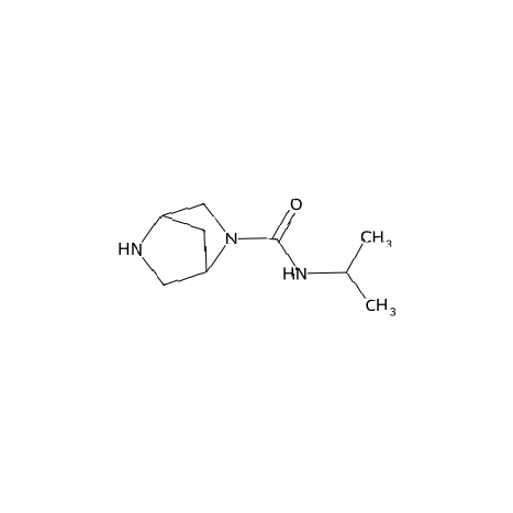 CC(C)NC(=O)N1CC2CC1CN2